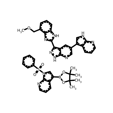 CC1(C)OB(c2cn(S(=O)(=O)c3ccccc3)c3ncccc23)OC1(C)C.COCc1cccc2[nH]c(-c3n[nH]c4ncc(-c5c[nH]c6ncccc56)cc34)nc12